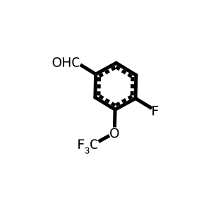 O=Cc1ccc(F)c(OC(F)(F)F)c1